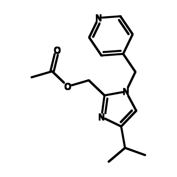 CC(=O)OCc1nc(C(C)C)cn1Cc1ccncc1